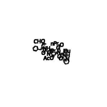 CCCC(=O)OCN(C(=O)[C@@H](NC(=O)[C@H]1CCCCN1C)C(C)CC)[C@H](C[C@@H](OC(C)=O)c1nc(C(=O)N[C@@H](Cc2ccccc2)C[C@H](C)C=O)cs1)C(C)C